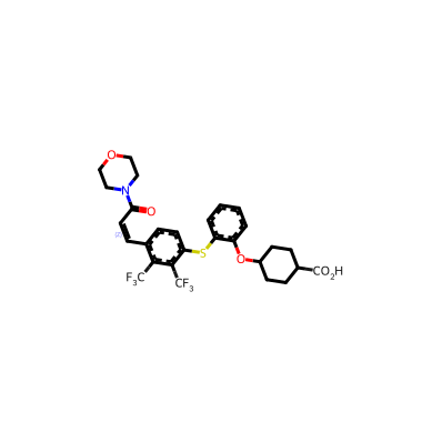 O=C(O)C1CCC(Oc2ccccc2Sc2ccc(/C=C\C(=O)N3CCOCC3)c(C(F)(F)F)c2C(F)(F)F)CC1